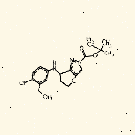 CC(C)(C)OC(=O)n1cc2c(n1)C(Nc1ccc(Cl)c(CO)c1)CCC2